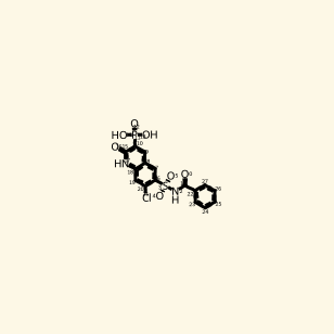 O=C(NS(=O)(=O)c1cc2cc(P(=O)(O)O)c(=O)[nH]c2cc1Cl)c1ccccc1